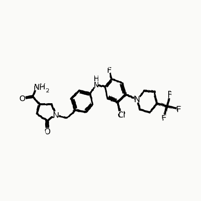 NC(=O)C1CC(=O)N(Cc2ccc(Nc3cc(Cl)c(N4CCC(C(F)(F)F)CC4)cc3F)cc2)C1